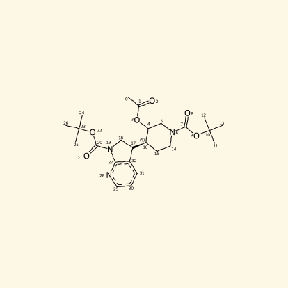 CC(=O)OC1CN(C(=O)OC(C)(C)C)CC[C@H]1C1CN(C(=O)OC(C)(C)C)c2ncccc21